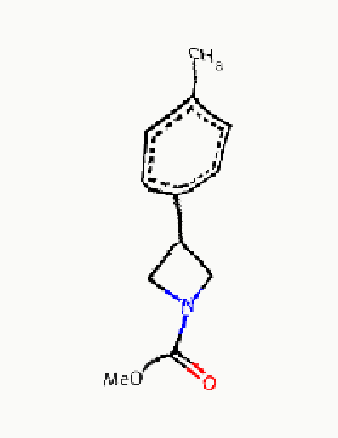 COC(=O)N1CC(c2ccc(C)cc2)C1